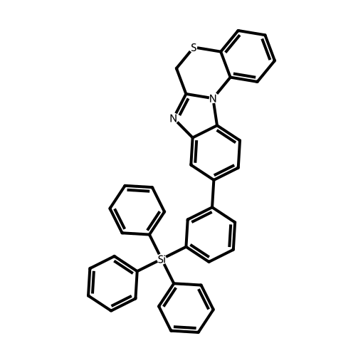 c1ccc([Si](c2ccccc2)(c2ccccc2)c2cccc(-c3ccc4c(c3)nc3n4-c4ccccc4SC3)c2)cc1